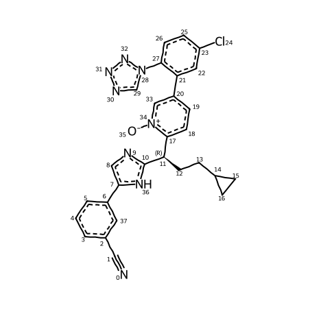 N#Cc1cccc(-c2cnc([C@H](CCC3CC3)c3ccc(-c4cc(Cl)ccc4-n4cnnn4)c[n+]3[O-])[nH]2)c1